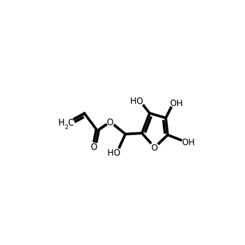 C=CC(=O)OC(O)c1oc(O)c(O)c1O